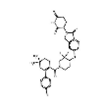 CC1(C)CCC(C(=O)N2CCC(Sc3ccc4c(c3)CN(C3CCC(=O)NC3=O)C4=O)C(F)(F)C2)=C(c2ccc(Cl)cc2)C1